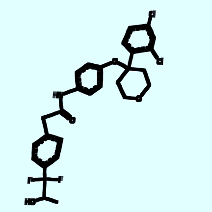 CC(O)C(F)(F)c1ccc(CC(=O)Nc2ccc(OC3(c4ccc(Cl)cc4Cl)CCOCC3)cc2)cc1